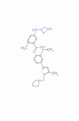 Cc1ccc(NC2CNC2)cc1C(=O)NC(C)c1cccc(-c2cc(C)c(CN3CCCC3)s2)c1